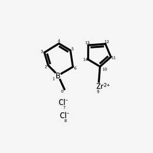 CB1C=CC=CC1.[Cl-].[Cl-].[Zr+2][C]1=CC=CC1